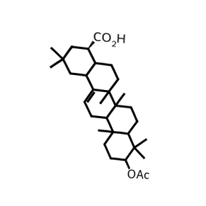 CC(=O)OC1CCC2(C)C(CCC3(C)C2CC=C2C4CC(C)(C)C[C@@H](C(=O)O)C4CCC23C)C1(C)C